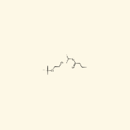 CCCC(=O)OC(C)COCCOC(C)(C)C